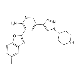 Cc1ccc2oc(-c3cc(-c4cnn(C5CCNCC5)c4)cnc3N)nc2c1